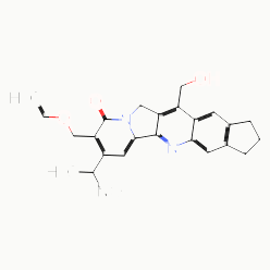 C=COCc1c(C(C)N=O)cc2n(c1=O)Cc1c-2nc2cc3c(cc2c1CO)CCC3